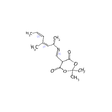 C=C(/C=C(C)\C=C/C)/N=C/C1C(=O)OC(C)(C)OC1=O